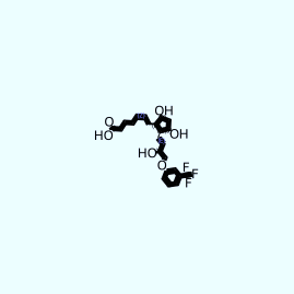 O=C(O)CCC/C=C\C[C@@H]1[C@@H](/C=C/[C@H](O)COc2cccc(C(F)(F)F)c2)[C@@H](O)C[C@H]1O